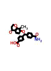 Cc1c(O[C@H](c2ccc(C(N)=O)cc2)c2ccc(C(=O)O)cc2)ccc2c1OCCC2=O